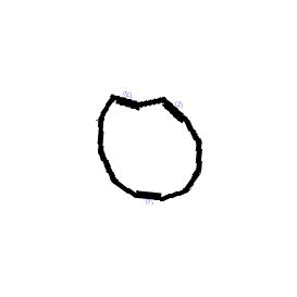 [CH]1/C=C/C=C\CCC/C=C\CC1